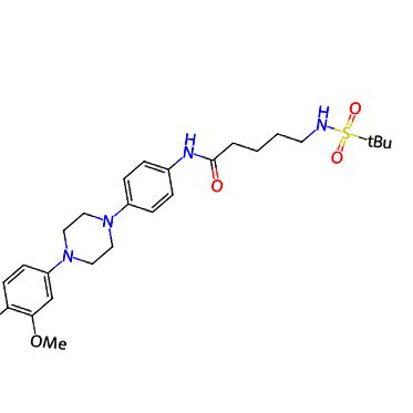 COc1ccc(N2CCN(c3ccc(NC(=O)CCCCNS(=O)(=O)C(C)(C)C)cc3)CC2)cc1OC